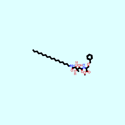 CCCCCCCCCCCCCCCCCCNC(=O)C(O)C(C)(O)C(O)C(=O)NC(COCc1ccccc1)C(=O)OC